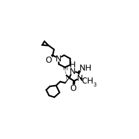 CN1C(=N)N[C@@](CCC2CCCCC2)(C[C@H]2CCCN(C(=O)CC3CC3)C2)C1=O